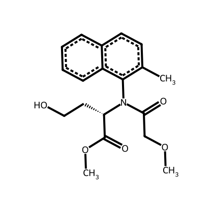 COCC(=O)N(c1c(C)ccc2ccccc12)[C@@H](CCO)C(=O)OC